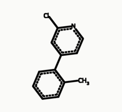 Cc1ccccc1-c1ccnc(Cl)c1